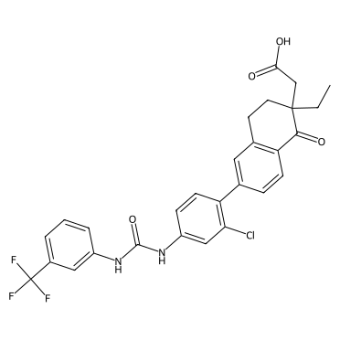 CCC1(CC(=O)O)CCc2cc(-c3ccc(NC(=O)Nc4cccc(C(F)(F)F)c4)cc3Cl)ccc2C1=O